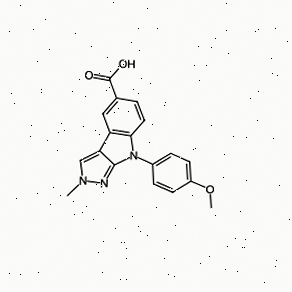 COc1ccc(-n2c3ccc(C(=O)O)cc3c3cn(C)nc32)cc1